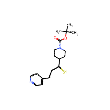 CC(C)(C)OC(=O)N1CCC(C(S)CCc2ccncc2)CC1